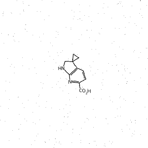 O=C(O)c1ccc2c(n1)NCC21CC1